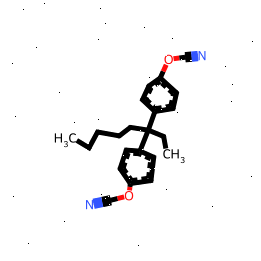 CCCCCC(CC)(c1ccc(OC#N)cc1)c1ccc(OC#N)cc1